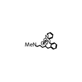 CNCCCC1Cc2ccccc2N(c2ccccn2)S1(=O)=O